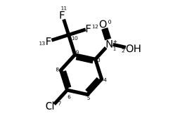 O=[N+](O)c1ccc(Cl)cc1C(F)(F)F